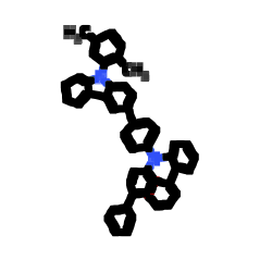 Cc1ccc(C)c(-n2c3ccccc3c3cc(-c4ccc(N(c5ccc(-c6ccccc6)cc5)c5ccccc5-c5ccccc5)cc4)ccc32)c1